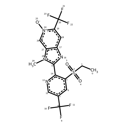 CCS(=O)(=O)c1cc(C(F)(F)F)cnc1-c1nc2cc(C(F)(F)F)[n+]([O-])cc2n1C